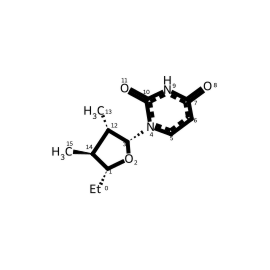 CC[C@H]1O[C@@H](n2ccc(=O)[nH]c2=O)[C@@H](C)[C@@H]1C